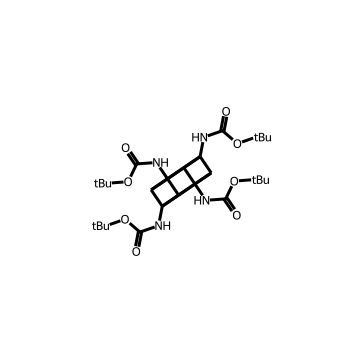 CC(C)(C)OC(=O)NC12C3C4(NC(=O)OC(C)(C)C)C1C1(NC(=O)OC(C)(C)C)C2C3(NC(=O)OC(C)(C)C)C41